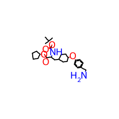 CC(C)(C)OC(=O)NC(CC1CCC(Oc2ccc(CN)cc2)CC1)C(=O)OC1CCCC1